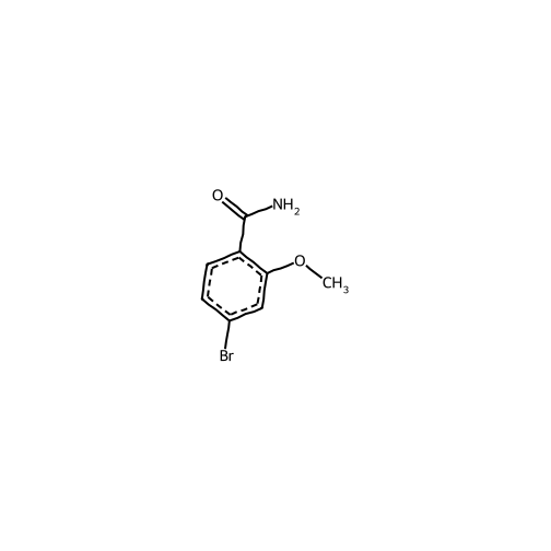 COc1cc(Br)ccc1C(N)=O